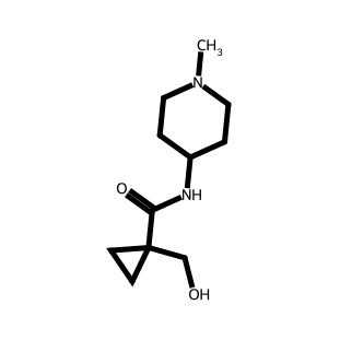 CN1CCC(NC(=O)C2(CO)CC2)CC1